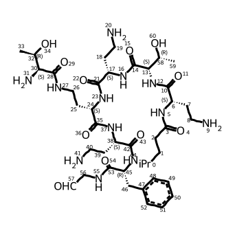 CC(C)CCC(=O)N[C@@H](CCN)C(=O)N[C@H](C(=O)N[C@@H](CCN)C(=O)N[C@@H](CCNC(=O)[C@@H](N)[C@@H](C)O)C(=O)N[C@@H](CCN)C(=O)N[C@H](Cc1ccccc1)C(=O)NCC=O)[C@@H](C)O